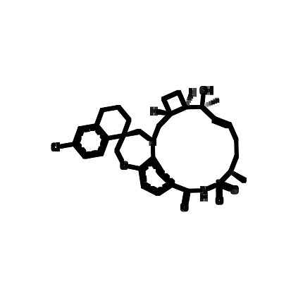 C[C@@H]1CC/C=C/[C@](C)(O)[C@@H]2CC[C@H]2CN2C[C@@]3(CCCc4cc(Cl)ccc43)COc3ccc(cc32)C(=O)NS1(=O)=O